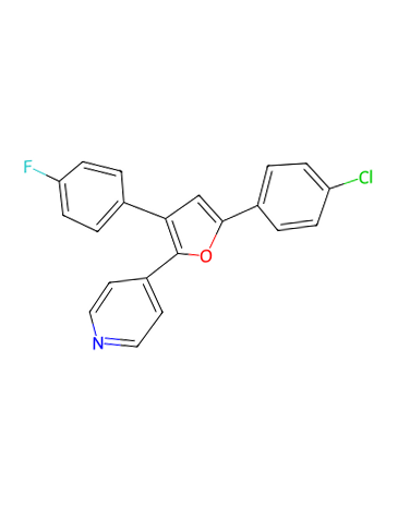 Fc1ccc(-c2cc(-c3ccc(Cl)cc3)oc2-c2ccncc2)cc1